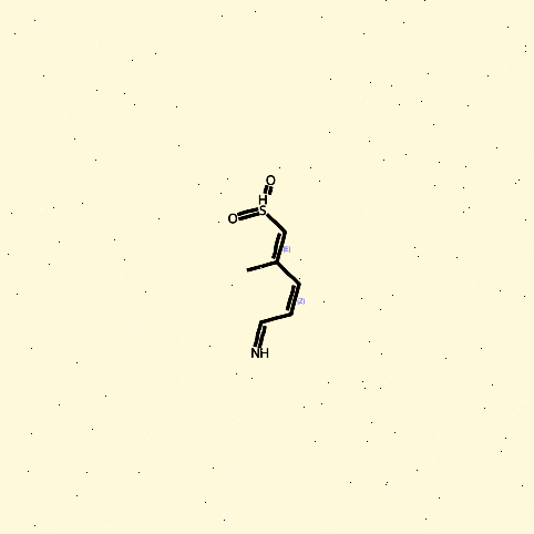 CC(/C=C\C=N)=C\[SH](=O)=O